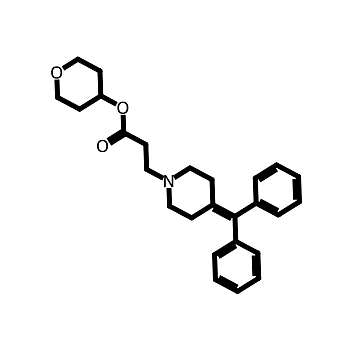 O=C(CCN1CCC(=C(c2ccccc2)c2ccccc2)CC1)OC1CCOCC1